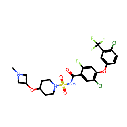 CN1CC(OC2CCN(S(=O)(=O)NC(=O)c3cc(Cl)c(Oc4ccc(Cl)c(C(F)(F)F)c4)cc3F)CC2)C1